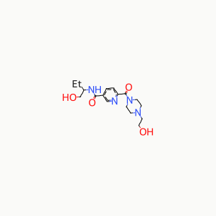 CCC(CO)NC(=O)c1ccc(C(=O)N2CCN(CCO)CC2)nc1